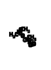 COc1cc(OC[C@H]2CCCN([C@@H](C)c3ccc4c(n3)OCCO4)C2)cc(C)n1